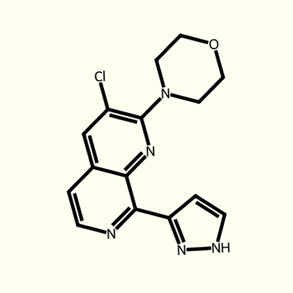 Clc1cc2ccnc(-c3cc[nH]n3)c2nc1N1CCOCC1